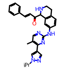 Cc1cnc(Nc2ccc3c(c2)C(C(=O)C=Cc2ccccc2)NCC3)nc1-c1cnn(C(C)C)c1